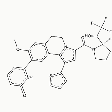 COc1cc2c(cc1-c1cccc(=O)[nH]1)-c1c(-c3cccs3)cc(C(=O)N3CCC[C@]3(C)[C@H](O)C(F)(F)F)n1CC2